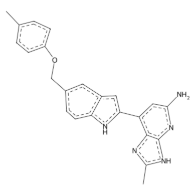 Cc1ccc(OCc2ccc3[nH]c(-c4cc(N)nc5[nH]c(C)nc45)cc3c2)cc1